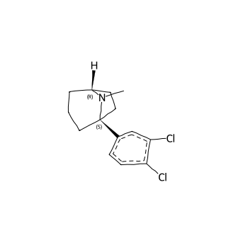 CN1[C@@H]2CCC[C@@]1(c1ccc(Cl)c(Cl)c1)CC2